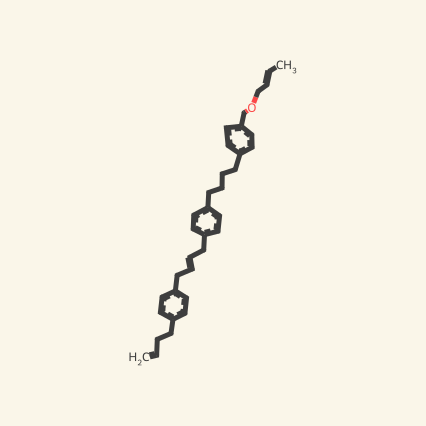 C=CCCc1ccc(CC=CCc2ccc(CCCCc3ccc(COCC=CC)cc3)cc2)cc1